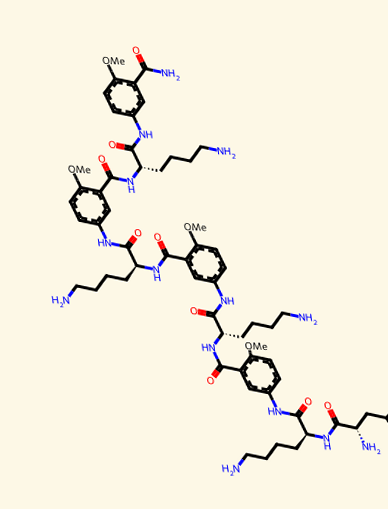 COc1ccc(NC(=O)[C@H](CCCCN)NC(=O)c2cc(NC(=O)[C@H](CCCCN)NC(=O)c3cc(NC(=O)[C@H](CCCCN)NC(=O)c4cc(NC(=O)[C@H](CCCCN)NC(=O)[C@@H](N)Cc5c[nH]c6ccccc56)ccc4OC)ccc3OC)ccc2OC)cc1C(N)=O